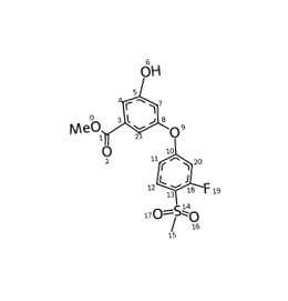 COC(=O)c1cc(O)cc(Oc2ccc(S(C)(=O)=O)c(F)c2)c1